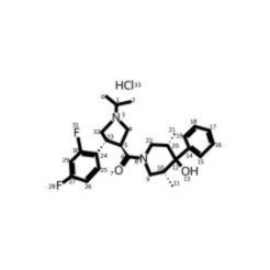 CC(C)N1C[C@@H](C(=O)N2C[C@@H](C)C(O)(c3ccccc3)[C@@H](C)C2)[C@H](c2ccc(F)cc2F)C1.Cl